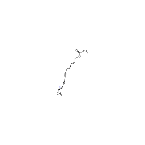 C/C=C/C#CC#CC=CC=CCOC(C)=O